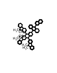 CC1(C)C2=CC(C3C4=CC(c5c6c(c(-c7ccc8ccccc8c7)c7ccccc57)CCC=C6)CC=C4C(c4ccc5c(c4)C(C)(C)c4ccccc4-5)C4CC5C(=CC34)[Si](C)(C)c3ccccc35)=CCC2C2=C1C=CCC2